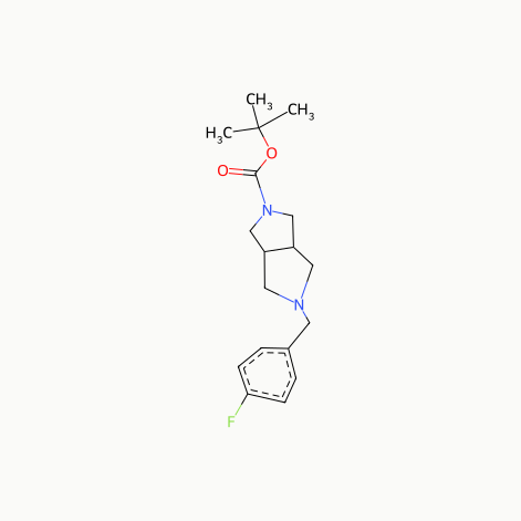 CC(C)(C)OC(=O)N1CC2CN(Cc3ccc(F)cc3)CC2C1